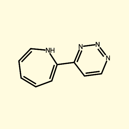 C1=CC=C(c2ccnnn2)NC=C1